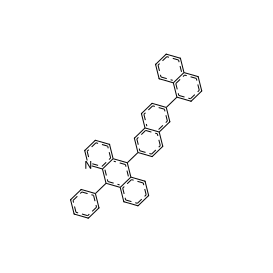 c1ccc(-c2c3ccccc3c(-c3ccc4cc(-c5cccc6ccccc56)ccc4c3)c3cccnc23)cc1